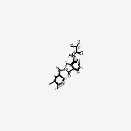 Cc1cc(C(C)N2Cc3c(ccnc3NC(=O)C(C)C)C2=O)cnc1C